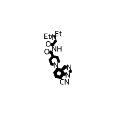 CCN(CC)CC(=O)NC(=O)C1CCN(c2ccc(C#N)c3ncncc23)CC1